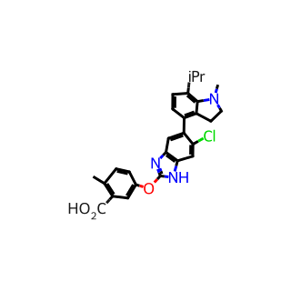 Cc1ccc(Oc2nc3cc(-c4ccc(C(C)C)c5c4CCN5C)c(Cl)cc3[nH]2)cc1C(=O)O